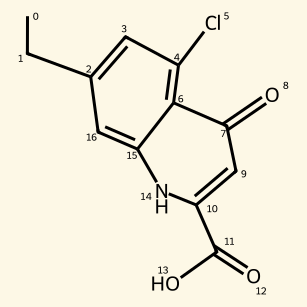 CCc1cc(Cl)c2c(=O)cc(C(=O)O)[nH]c2c1